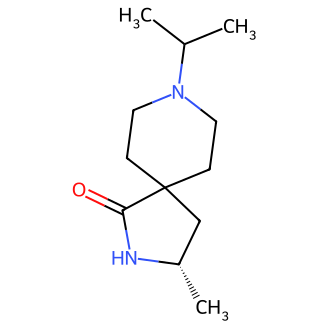 CC(C)N1CCC2(CC1)C[C@H](C)NC2=O